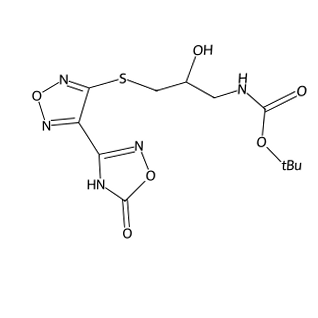 CC(C)(C)OC(=O)NCC(O)CSc1nonc1-c1noc(=O)[nH]1